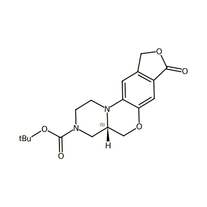 CC(C)(C)OC(=O)N1CCN2c3cc4c(cc3OC[C@@H]2C1)C(=O)OC4